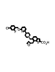 O=C(O)c1cc2ccc(CN3CCC(c4cccc(OCc5ccc(Cl)cc5F)n4)CC3)c(CC3CCO3)c2s1